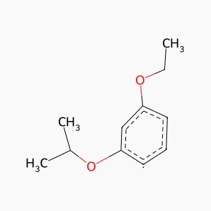 CCOc1cc[c]c(OC(C)C)c1